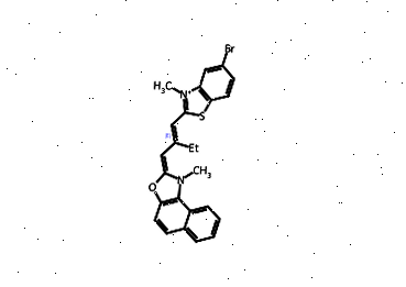 CC/C(C=C1Oc2ccc3ccccc3c2N1C)=C\c1sc2ccc(Br)cc2[n+]1C